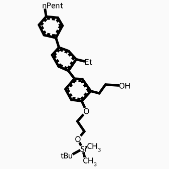 CCCCCc1ccc(-c2ccc(-c3ccc(OCCO[Si](C)(C)C(C)(C)C)c(CCO)c3)c(CC)c2)cc1